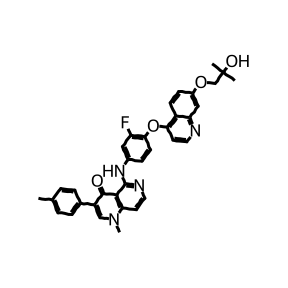 Cc1ccc(-c2cn(C)c3ccnc(Nc4ccc(Oc5ccnc6cc(OCC(C)(C)O)ccc56)c(F)c4)c3c2=O)cc1